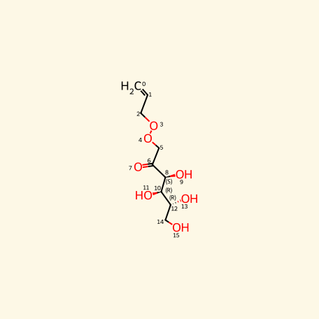 C=CCOOCC(=O)[C@@H](O)[C@H](O)[C@H](O)CO